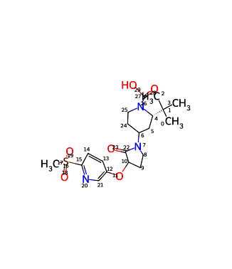 CC(C)(C)[C@@H]1CC(N2CCC(Oc3ccc(S(C)(=O)=O)nc3)C2=O)CCN1C(=O)O